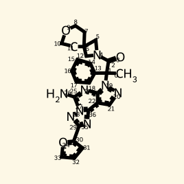 CC(C(=O)N1CC2(CCOCC2)C1)(c1ccccc1)n1ncc2c1nc(N)n1nc(-c3ccco3)nc21